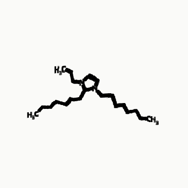 CCCCCCCCN1C=CN(CCC)C1CCCCCCC